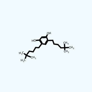 CC(C)(C)CCCCc1cc(CCCCC(C)(C)C)c(O)cc1O